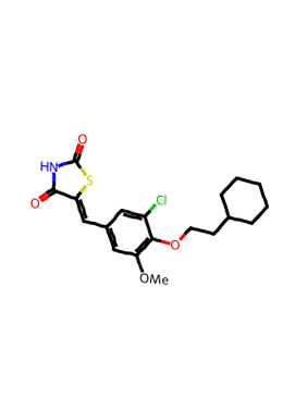 COc1cc(/C=C2\SC(=O)NC2=O)cc(Cl)c1OCCC1CCCCC1